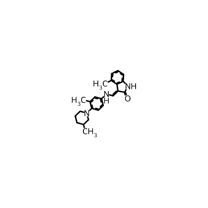 Cc1cc(N/C=C2/C(=O)Nc3cccc(C)c32)ccc1N1CCCC(C)C1